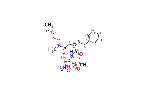 CCOCCN(C)C(=O)C[C@@H](CCc1ccccc1)C(=O)N[C@](CC)(C(N)=O)C(=O)O